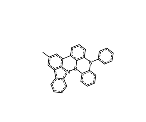 Cc1cc2c3c(c1)c1ccccc1n3B1c3ccccc3N(c3ccccc3)c3cccc-2c31